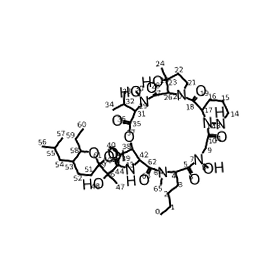 CCCCC1C(=O)N(O)CC(=O)N2NCCCC2C(=O)N2CCC(C)(O)C2C(=O)N(O)C(C(C)C)C(=O)OC(C(C)C)C(NC(=O)C(C)(O)C2(O)CCC(CC(C)C)C(CC)O2)C(=O)N1C